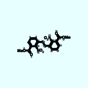 COC(=O)c1cccc(SSc2cccc(C(=O)OC)c2[N+](=O)[O-])c1[N+](=O)[O-]